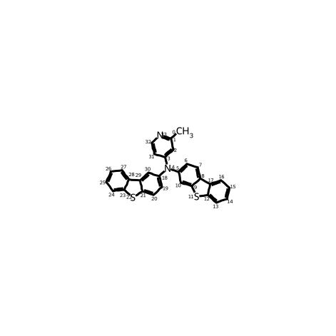 Cc1cc(N(c2ccc3c(c2)sc2ccccc23)c2ccc3sc4ccccc4c3c2)ccn1